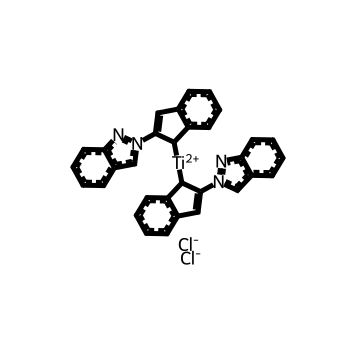 C1=C(n2cc3ccccc3n2)[CH]([Ti+2][CH]2C(n3cc4ccccc4n3)=Cc3ccccc32)c2ccccc21.[Cl-].[Cl-]